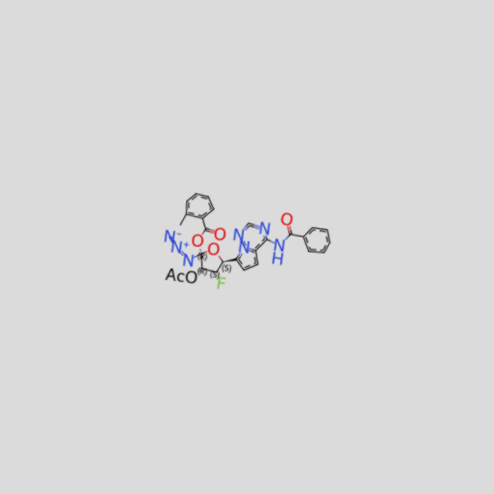 CC(=O)O[C@H]1[C@@H](F)[C@H](c2ccc3c(NC(=O)c4ccccc4)ncnn23)O[C@@]1(N=[N+]=[N-])OC(=O)c1ccccc1C